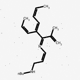 C=C(C)C(=N\C=C/CNCCCC)/C(/C=C\C)=C/C=C\C